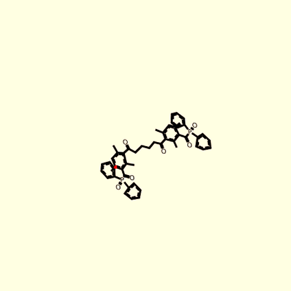 Cc1cc(C)c(C(=O)P(=O)(c2ccccc2)c2ccccc2)c(C)c1C(=O)CCCCC(=O)c1c(C)cc(C)c(C(=O)P(=O)(c2ccccc2)c2ccccc2)c1C